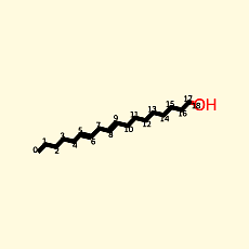 CCCCC/C=C/C/C=C/CCCCCCCCO